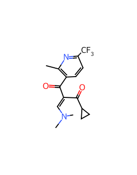 Cc1nc(C(F)(F)F)ccc1C(=O)C(=CN(C)C)C(=O)C1CC1